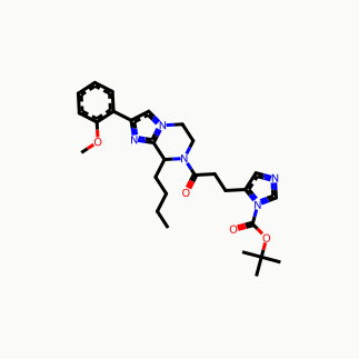 CCCCC1c2nc(-c3ccccc3OC)cn2CCN1C(=O)CCc1cncn1C(=O)OC(C)(C)C